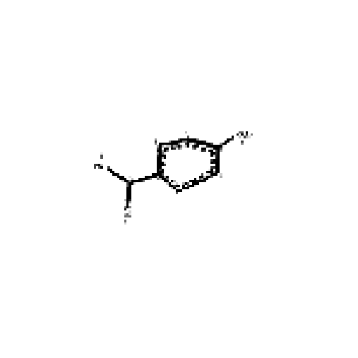 CSc1ccc(C(Br)Br)cc1